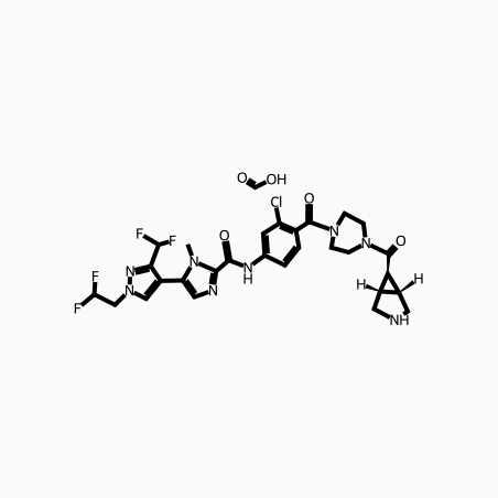 Cn1c(-c2cn(CC(F)F)nc2C(F)F)cnc1C(=O)Nc1ccc(C(=O)N2CCN(C(=O)[C@H]3[C@@H]4CNC[C@@H]43)CC2)c(Cl)c1.O=CO